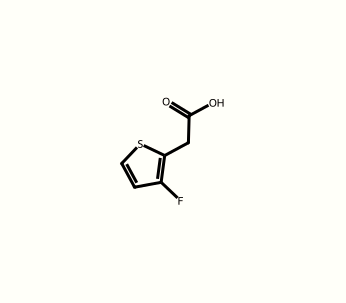 O=C(O)Cc1sccc1F